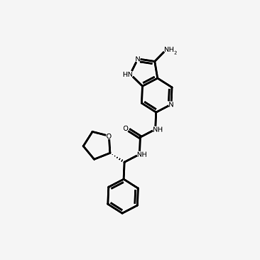 Nc1n[nH]c2cc(NC(=O)NC(c3ccccc3)[C@@H]3CCCO3)ncc12